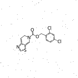 O=C(OCc1ccc(Cl)cc1Cl)N1C=c2scnc2=CC1